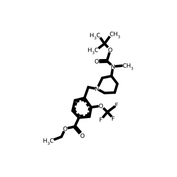 CCOC(=O)c1ccc(CN2CCCC(N(C)C(=O)OC(C)(C)C)C2)c(OC(F)(F)F)c1